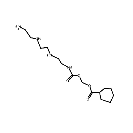 NCCNCCNCCNC(=O)OCOC(=O)C1CCCCC1